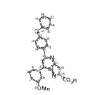 COc1cccc(-c2cc(-c3ccc(Oc4ccccc4)cc3)nc3cc(C(=O)O)nn23)c1